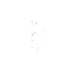 CC(C)[C@]12O[C@H]1C1O[C@]13[C@]1(O[C@H]1C[C@H]1C4=C(CC[C@@]13C)C(=O)OC4)[C@@H]2OC(=O)Cl